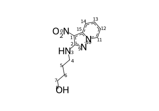 O=[N+]([O-])c1c(NCCCCO)nn2ccccc12